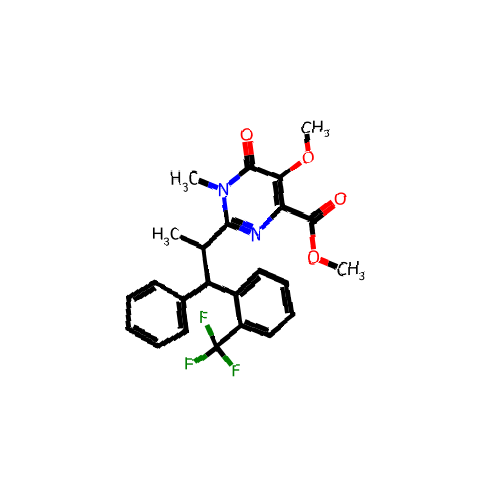 COC(=O)c1nc(C(C)C(c2ccccc2)c2ccccc2C(F)(F)F)n(C)c(=O)c1OC